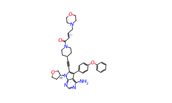 Nc1ncnc2c1c(-c1ccc(Oc3ccccc3)cc1)c(C#CC1CCN(C(=O)/C=C/CN3CCOCC3)CC1)n2[C@H]1CCOC1